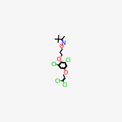 CC(=NOCCCOc1c(Cl)cc(OCC=C(Cl)Cl)cc1Cl)C(C)(C)C